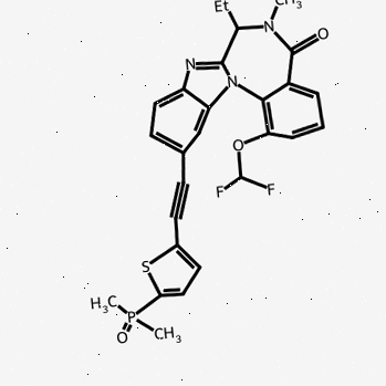 CCC1c2nc3ccc(C#Cc4ccc(P(C)(C)=O)s4)cc3n2-c2c(OC(F)F)cccc2C(=O)N1C